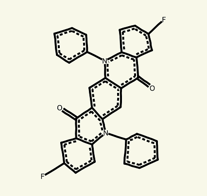 O=c1c2cc(F)ccc2n(-c2ccccc2)c2cc3c(=O)c4cc(F)ccc4n(-c4ccccc4)c3cc12